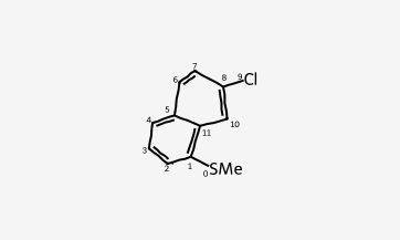 CSc1[c]ccc2ccc(Cl)cc12